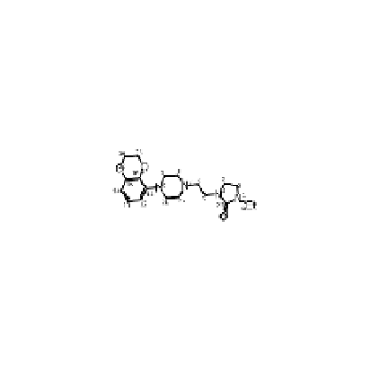 CCN1CCN(CCN2CCN(c3cccc4c3OCCO4)CC2)C1=O